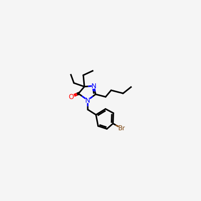 CCCCC1=NC(CC)(CC)C(=O)N1Cc1ccc(Br)cc1